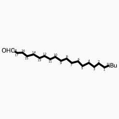 CCC(C)CCCCCCCCCCCCCCCCCC=O